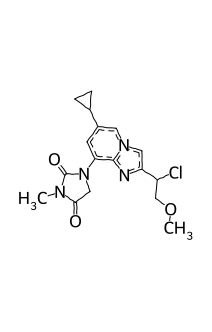 COCC(Cl)c1cn2cc(C3CC3)cc(N3CC(=O)N(C)C3=O)c2n1